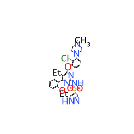 CCOc1ccccc1-c1nc(NS(=O)(=O)c2cn[nH]c2)nc(Oc2cccc(N3CCN(C)CC3)c2Cl)c1CC